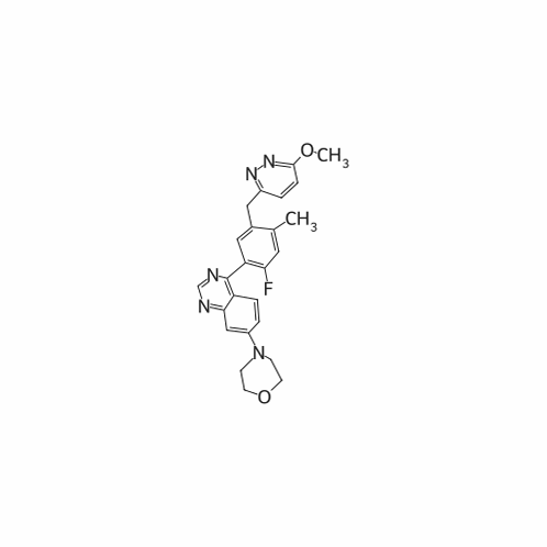 COc1ccc(Cc2cc(-c3ncnc4cc(N5CCOCC5)ccc34)c(F)cc2C)nn1